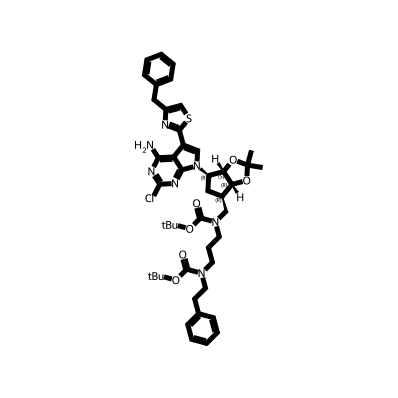 CC(C)(C)OC(=O)N(CCCN(C[C@H]1C[C@@H](n2cc(-c3nc(Cc4ccccc4)cs3)c3c(N)nc(Cl)nc32)[C@@H]2OC(C)(C)O[C@H]12)C(=O)OC(C)(C)C)CCc1ccccc1